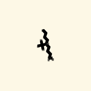 CCCCN(CCCN)C(C)(C)C